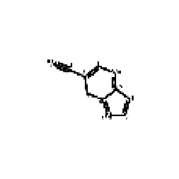 N#CC1=CN=C2C=CN=C2C1